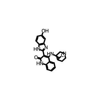 O=c1[nH]c2ccccc2c(NC2CN3CCC2CC3)c1-c1nc2cc(O)ccc2[nH]1